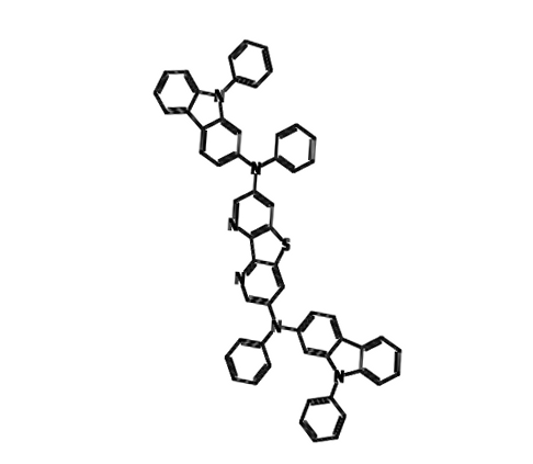 c1ccc(N(c2cnc3c(c2)sc2cc(N(c4ccccc4)c4ccc5c6ccccc6n(-c6ccccc6)c5c4)cnc23)c2ccc3c4ccccc4n(-c4ccccc4)c3c2)cc1